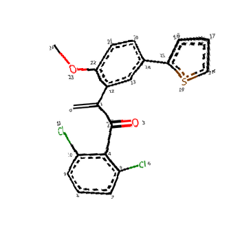 C=C(C(=O)c1c(Cl)cccc1Cl)c1cc(-c2cccs2)ccc1OC